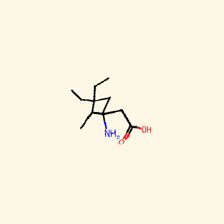 CCC1(CC)CC(N)(CC(=O)O)C1C